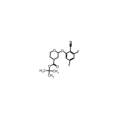 CC(C)(C)OC(=O)N1CCOC(Oc2cc(F)cc(F)c2C#N)C1